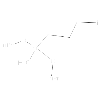 CCCO[Si](C)(CCCI)OCCC